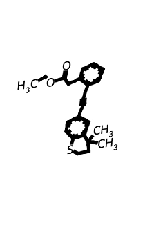 CCOC(=O)Cc1ccccc1C#Cc1ccc2c(c1)C(C)(C)CCS2